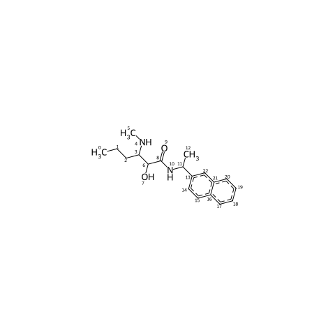 CCCC(NC)C(O)C(=O)NC(C)c1ccc2ccccc2c1